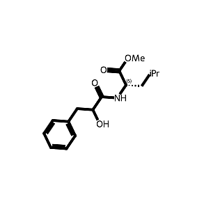 COC(=O)[C@H](CC(C)C)NC(=O)C(O)Cc1ccccc1